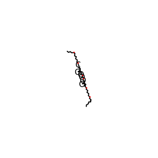 CCCC/C=C\CCCCCCCC/C=C/C(=O)COCOCOCC(=O)/C=C/CCCCCCCC/C=C\CCCC